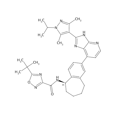 Cc1nn(C(C)C)c(C)c1-c1nc2c(-c3ccc4c(c3)CCCC[C@H]4NC(=O)c3noc(C(C)(C)C)n3)ccnc2[nH]1